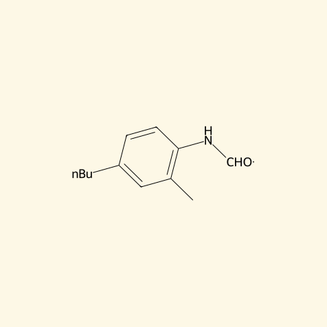 CCCCc1ccc(N[C]=O)c(C)c1